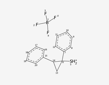 F[B-](F)(F)F.[SH2+]C1(c2ccccc2)CC1c1ccccc1